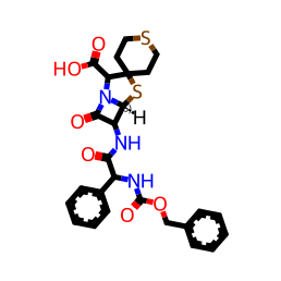 O=C(NC(C(=O)NC1C(=O)N2C(C(=O)O)C3(CCSCC3)S[C@@H]12)c1ccccc1)OCc1ccccc1